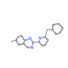 Cc1ccc2nc(-c3cccc(Cc4ccccc4)n3)ncc2c1